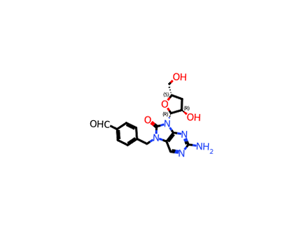 Nc1ncc2c(n1)n([C@@H]1O[C@H](CO)C[C@H]1O)c(=O)n2Cc1ccc(C=O)cc1